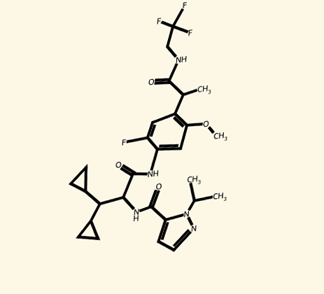 COc1cc(NC(=O)C(NC(=O)c2ccnn2C(C)C)C(C2CC2)C2CC2)c(F)cc1C(C)C(=O)NCC(F)(F)F